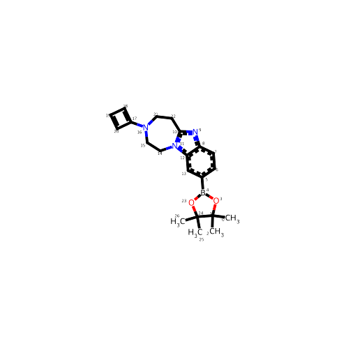 CC1(C)OB(c2ccc3nc4n(c3c2)CCN(C2=CC=C2)CC4)OC1(C)C